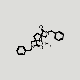 CN1C2(CCC13CN(Cc1ccccc1)C3=O)CN(Cc1ccccc1)C2=O